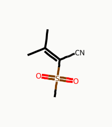 CC(C)=C(C#N)S(C)(=O)=O